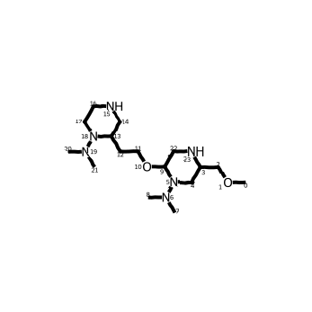 COCC1CN(N(C)C)C(OCCC2CNCCN2N(C)C)CN1